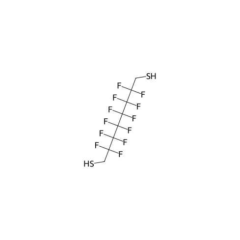 FC(F)(CS)C(F)(F)C(F)(F)C(F)(F)C(F)(F)C(F)(F)CS